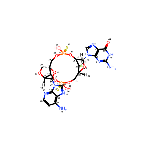 Nc1nc2c(ncn2[C@@H]2O[C@@H]3COP(O)(=S)O[C@H]4[C@H]5OC[C@]4(COP(O)(=S)O[C@@H]2[C@H]3F)O[C@H]5n2cnc3c(N)ccnc32)c(=O)[nH]1